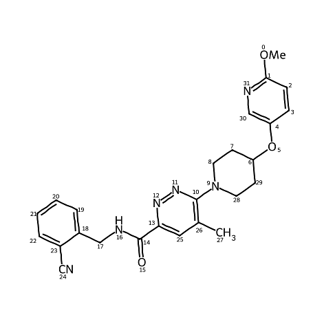 COc1ccc(OC2CCN(c3nnc(C(=O)NCc4ccccc4C#N)cc3C)CC2)cn1